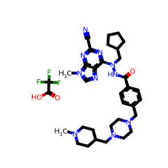 CN1CCC(CN2CCN(Cc3ccc(C(=O)NN(CC4CCCC4)c4nc(C#N)nc5c4ncn5C)cc3)CC2)CC1.O=C(O)C(F)(F)F